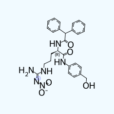 N/C(=N/[N+](=O)[O-])NCCC[C@@H](NC(=O)C(c1ccccc1)c1ccccc1)C(=O)Nc1ccc(CO)cc1